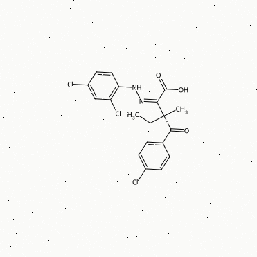 CCC(C)(C(=O)c1ccc(Cl)cc1)C(=NNc1ccc(Cl)cc1Cl)C(=O)O